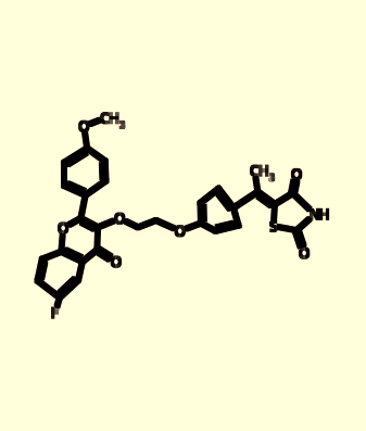 COc1ccc(-c2oc3ccc(F)cc3c(=O)c2OCCOc2ccc(/C(C)=C3\SC(=O)NC3=O)cc2)cc1